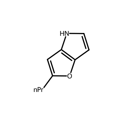 CCCc1cc2[nH]ccc2o1